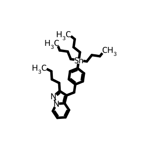 CCCCc1nn2ccccc2c1Cc1cc[c]([Sn]([CH2]CCC)([CH2]CCC)[CH2]CCC)cc1